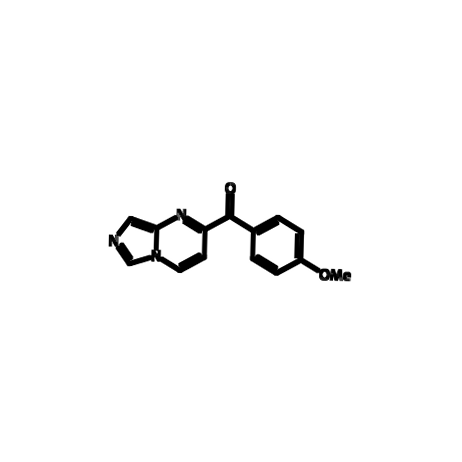 COc1ccc(C(=O)c2ccn3cncc3n2)cc1